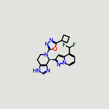 FC(F)c1cccn2nc([C@H]3c4nc[nH]c4CCN3c3nnc(C4CCC4)o3)cc12